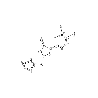 O=C1O[C@@H](Cn2ccnn2)CN1c1ccc(Br)c(F)c1